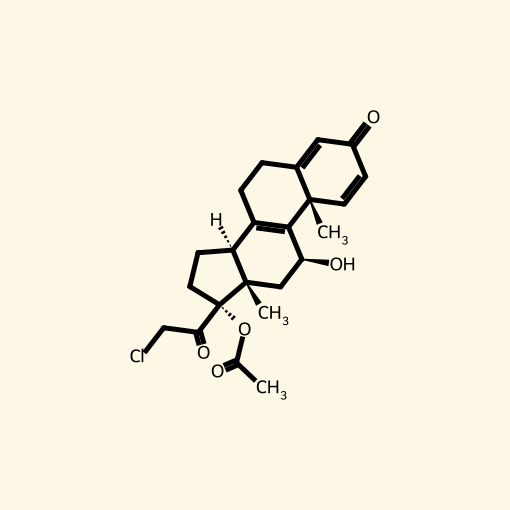 CC(=O)O[C@]1(C(=O)CCl)CC[C@H]2C3=C([C@@H](O)C[C@@]21C)[C@@]1(C)C=CC(=O)C=C1CC3